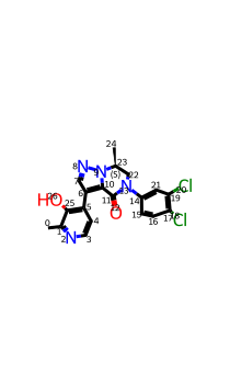 Cc1nccc(-c2cnn3c2C(=O)N(c2ccc(Cl)c(Cl)c2)C[C@@H]3C)c1O